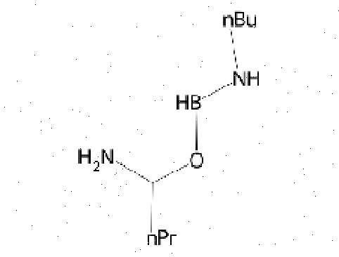 CCCCNBOC(N)CCC